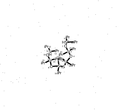 CC(C)[SiH](O[Si](O[Si](S[Si](O[Si](O[SiH](C(C)C)C(C)C)(C(C)C)C(C)C)(C(C)C)C(C)C)(C(C)C)C(C)C)(C(C)C)C(C)C)C(C)C